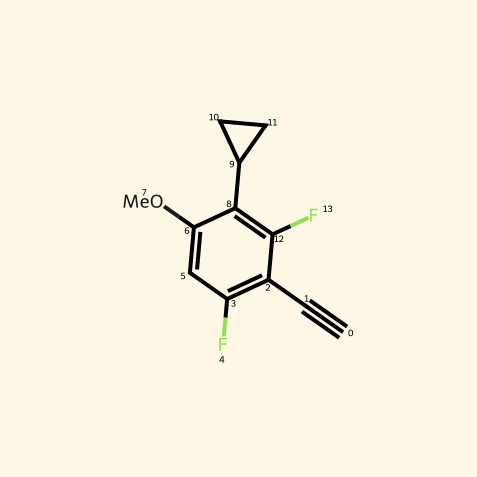 C#Cc1c(F)cc(OC)c(C2CC2)c1F